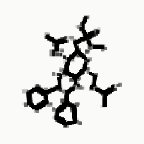 COP(=O)(C[C@H]1O[C@H](COC(C)=O)[C@@H](OCc2ccccc2)[C@H](OCc2ccccc2)[C@@H]1NC(C)=O)OC